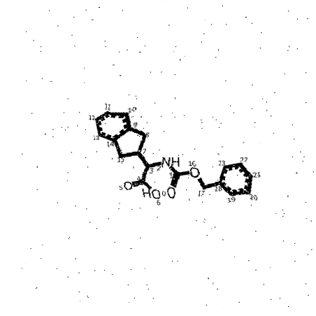 O=C(NC(C(=O)O)C1Cc2ccccc2C1)OCc1ccccc1